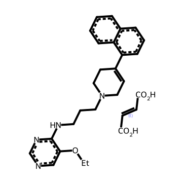 CCOc1cncnc1NCCCN1CC=C(c2cccc3ccccc23)CC1.O=C(O)/C=C/C(=O)O